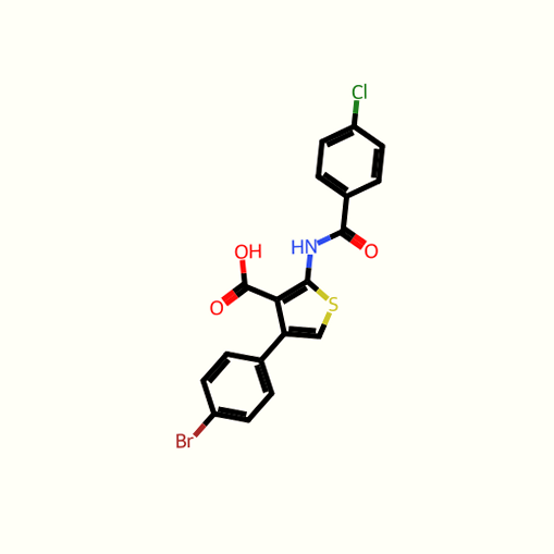 O=C(Nc1scc(-c2ccc(Br)cc2)c1C(=O)O)c1ccc(Cl)cc1